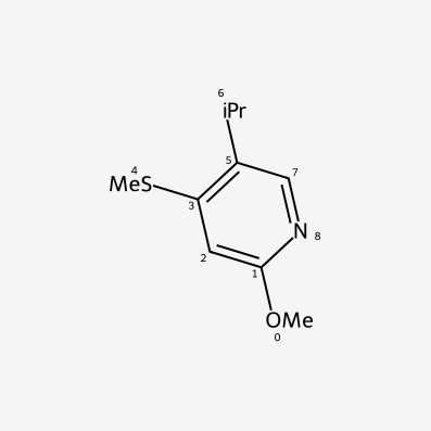 COc1cc(SC)c(C(C)C)cn1